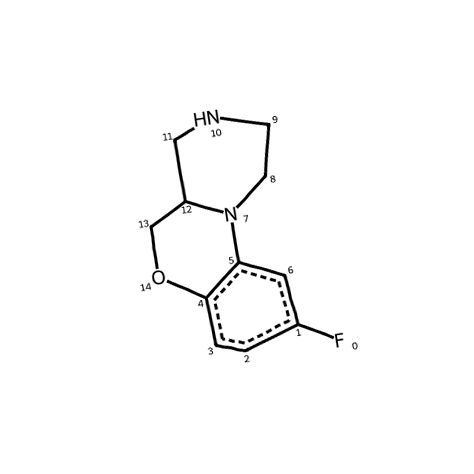 Fc1ccc2c(c1)N1CCNCC1CO2